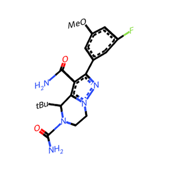 COc1cc(F)cc(-c2nn3c(c2C(N)=O)C(C(C)(C)C)N(C(N)=O)CC3)c1